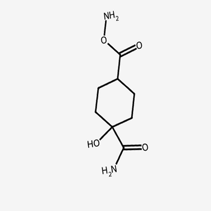 NOC(=O)C1CCC(O)(C(N)=O)CC1